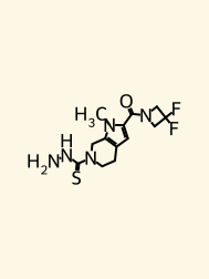 Cn1c(C(=O)N2CC(F)(F)C2)cc2c1CN(C(=S)NN)CC2